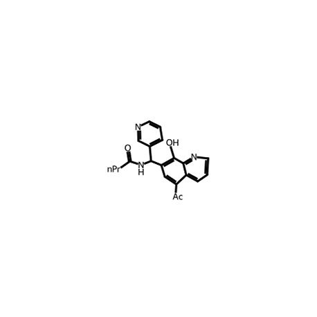 CCCC(=O)NC(c1cccnc1)c1cc(C(C)=O)c2cccnc2c1O